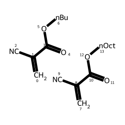 C=C(C#N)C(=O)OCCCC.C=C(C#N)C(=O)OCCCCCCCC